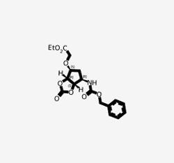 CCOC(=O)CO[C@H]1C[C@@H](NC(=O)OCc2ccccc2)[C@@H]2OC(=O)O[C@@H]21